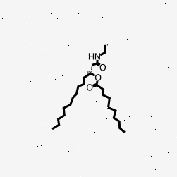 [CH2]CNC(=O)C[C@@H](CCCCCCCCCCC)OC(=O)CCCCCCCCC